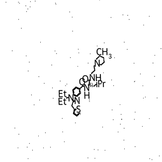 CCC(CC)n1c(Cc2cccs2)nc2cc(C(=O)N[C@@H](CC(C)C)C(=O)NCCCN3CCCC(C)C3)ccc21